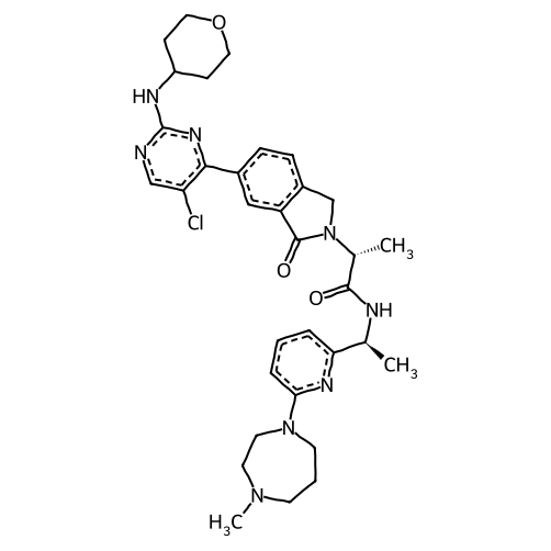 C[C@H](NC(=O)[C@@H](C)N1Cc2ccc(-c3nc(NC4CCOCC4)ncc3Cl)cc2C1=O)c1cccc(N2CCCN(C)CC2)n1